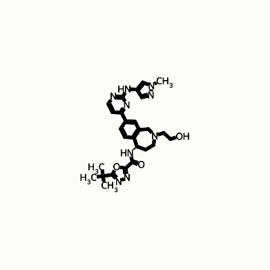 Cn1cc(Nc2nccc(-c3ccc4c(c3)CN(CCO)CC[C@@H]4NC(=O)c3nnc(C(C)(C)C)o3)n2)cn1